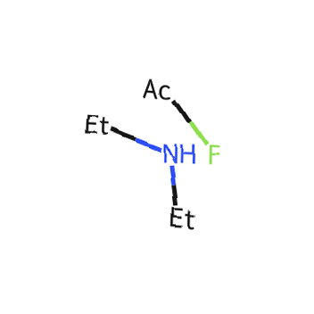 CC(=O)F.CCNCC